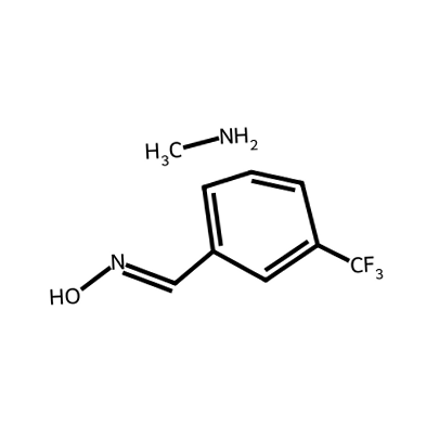 CN.ON=Cc1cccc(C(F)(F)F)c1